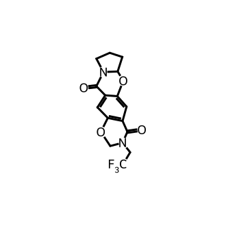 O=C1c2cc3c(cc2OCN1CC(F)(F)F)C(=O)N1CCCC1O3